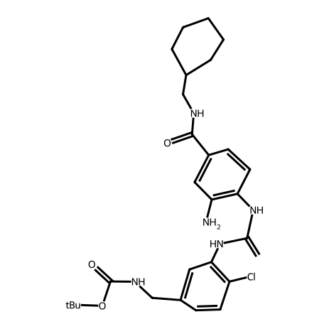 C=C(Nc1ccc(C(=O)NCC2CCCCC2)cc1N)Nc1cc(CNC(=O)OC(C)(C)C)ccc1Cl